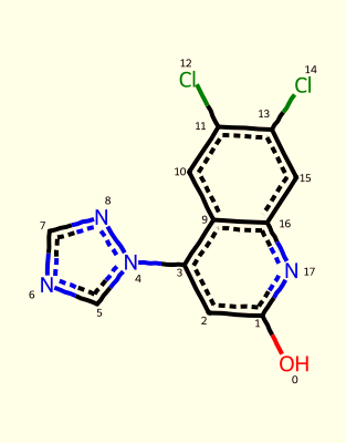 Oc1cc(-n2cncn2)c2cc(Cl)c(Cl)cc2n1